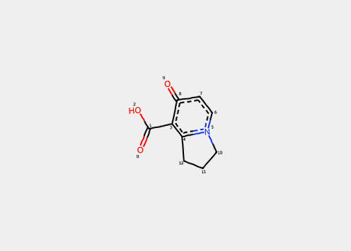 O=C(O)c1c2n(ccc1=O)CCC2